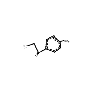 CCC(=O)c1[c]cc(Br)cc1